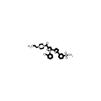 C=CCN1CCN(C(=O)c2cc(-c3ccc(-c4cccc(S(C)(=O)=O)c4)s3)n(-c3ccccc3Cl)n2)CC1